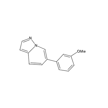 COc1cccc(-c2ccc3ccnn3c2)c1